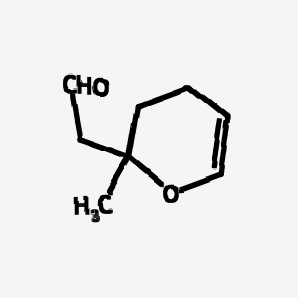 CC1(CC=O)CCC=CO1